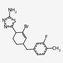 Cc1ccc(CC2C=C(Br)C(c3nnc(N)s3)CC2)cc1F